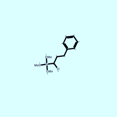 CO[Si](OC)(OC)C(Cl)CCc1ccccc1